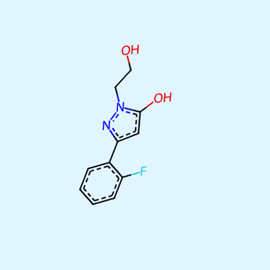 OCCn1nc(-c2ccccc2F)cc1O